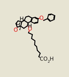 C[C@]12C[C@H](OCCCCCCCCCC(=O)O)[C@@H]3c4ccc(OCc5ccccc5)cc4CC[C@H]3[C@@H]1CCC2=O